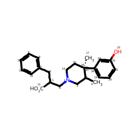 CC1CN(CC(Cc2ccccc2)C(=O)O)CC[C@@]1(C)c1cccc(O)c1